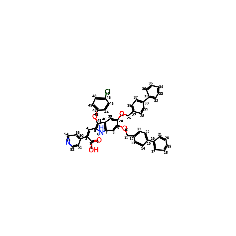 O=C(O)C(=Cc1[nH]c2cc(OCc3ccc(-c4ccccc4)cc3)c(OCc3ccc(-c4ccccc4)cc3)cc2c1Oc1ccc(Cl)cc1)c1ccncc1